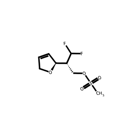 CS(=O)(=O)OC[C@@H](C(F)F)[C@@H]1C=CCO1